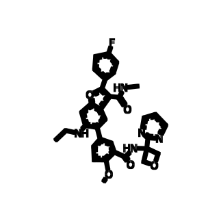 CCNc1cc2oc(-c3ccc(F)cc3)c(C(=O)NC)c2cc1-c1ccc(OC)c(C(=O)NC2(c3ncccn3)COC2)c1